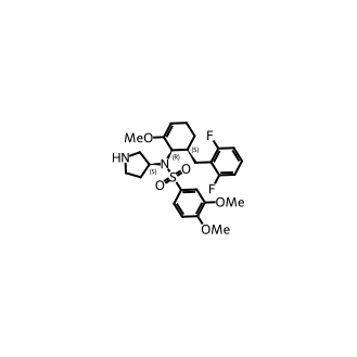 COC1=CCC[C@@H](Cc2c(F)cccc2F)[C@H]1N([C@H]1CCNC1)S(=O)(=O)c1ccc(OC)c(OC)c1